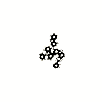 c1ccc(-c2nc3c(ccc4oc5cc(N(c6ccc7c(c6)sc6ccccc67)c6cccc7c6c6ccccc6n7-c6ccccc6)ccc5c43)o2)cc1